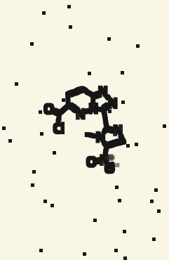 Cn1c([N+](=O)[O-])cnc1-c1nnc2ccc(C(=O)Cl)nn12